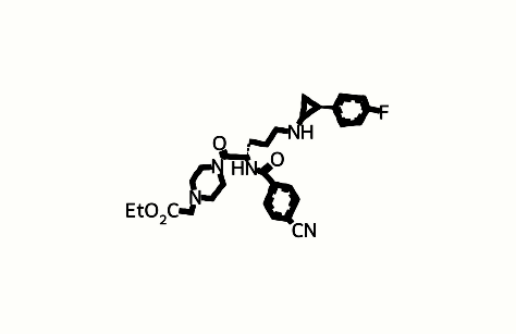 CCOC(=O)CN1CCN(C(=O)[C@H](CCCNC2C[C@H]2c2ccc(F)cc2)NC(=O)c2ccc(C#N)cc2)CC1